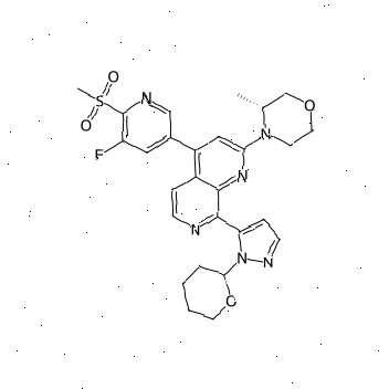 C[C@@H]1COCCN1c1cc(-c2cnc(S(C)(=O)=O)c(F)c2)c2ccnc(-c3ccnn3C3CCCCO3)c2n1